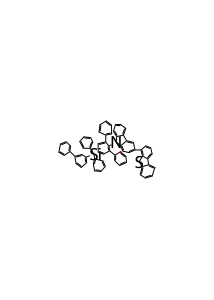 c1ccc(-c2cccc([Si](c3ccccc3)(c3ccccc3)c3cc(-c4ccccc4)c(-n4c5ccccc5c5cc(-c6cccc7c6sc6ccccc67)ccc54)c(-c4ccccc4)c3)c2)cc1